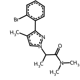 Cc1cn(C(C)C(=O)N(C)C)nc1-c1ccccc1Br